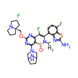 CN1C(c2ccc(F)c3sc(N)nc23)=C(F)c2nc(OC[C@@]34CCCN3C[C@H](F)C4)nc(N3CC4CCC(C3)N4)c2[S+]1[O-]